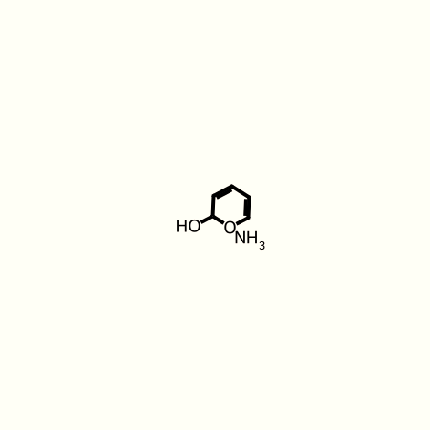 N.OC1C=CC=CO1